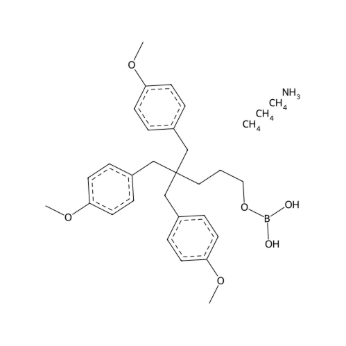 C.C.C.COc1ccc(CC(CCCOB(O)O)(Cc2ccc(OC)cc2)Cc2ccc(OC)cc2)cc1.N